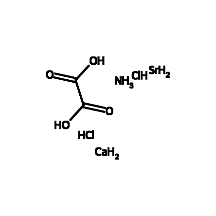 Cl.Cl.N.O=C(O)C(=O)O.[CaH2].[SrH2]